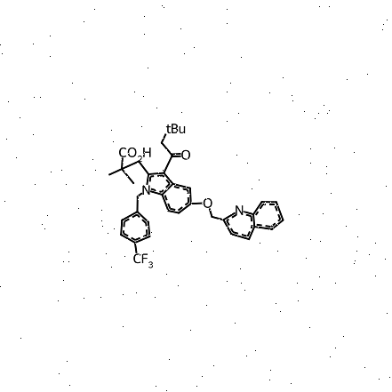 CC(C)(C)CC(=O)c1c(CC(C)(C)C(=O)O)n(Cc2ccc(C(F)(F)F)cc2)c2ccc(OCc3ccc4ccccc4n3)cc12